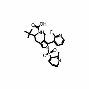 Cc1ncccc1S(=O)(=O)n1cc(CC(NC(=O)O)C(C)(C)C)c(F)c1-c1cccnc1F